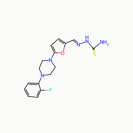 NC(=S)NN=Cc1ccc(N2CCN(c3ccccc3F)CC2)o1